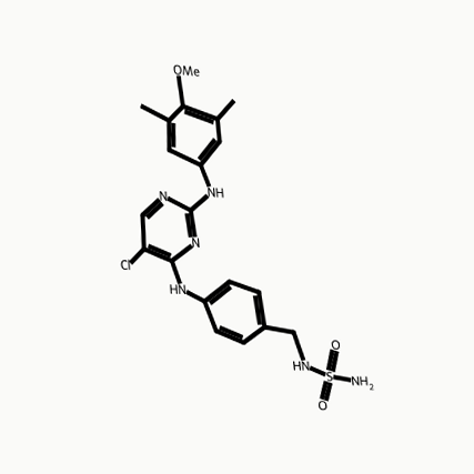 COc1c(C)cc(Nc2ncc(Cl)c(Nc3ccc(CNS(N)(=O)=O)cc3)n2)cc1C